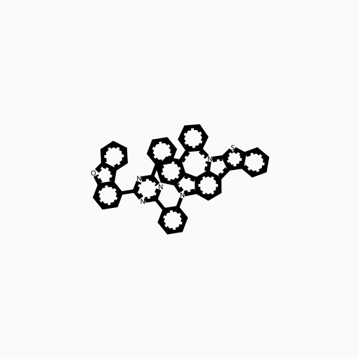 c1ccc(-c2nc(-c3ccccc3-n3c4cccc5c6ccccc6n6c7sc8ccccc8c7c7ccc3c(c54)c76)nc(-c3cccc4oc5ccccc5c34)n2)cc1